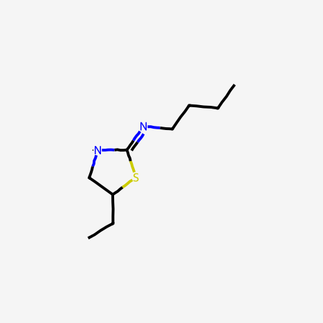 CCCCN=C1[N]CC(CC)S1